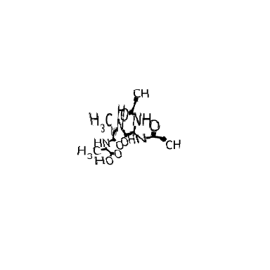 C#CC(=O)NC(NC(=O)C#C)C(=O)N[C@@H](C)C(=O)NC(C)C(=O)O